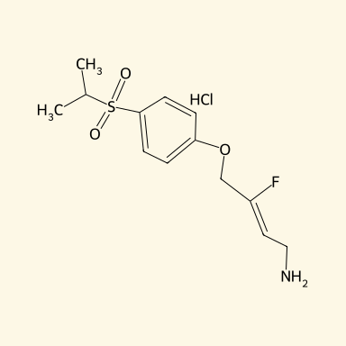 CC(C)S(=O)(=O)c1ccc(OCC(F)=CCN)cc1.Cl